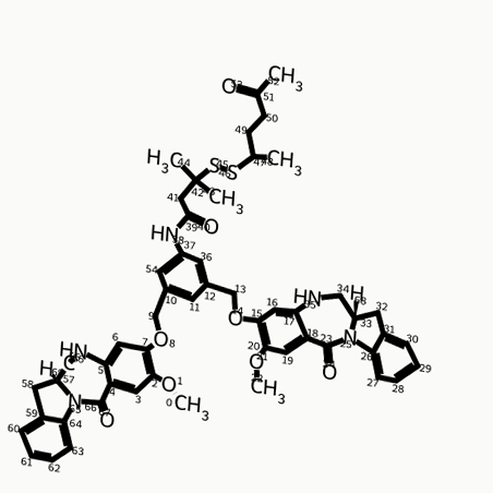 COc1cc2c(cc1OCc1cc(COc3cc4c(cc3OC)C(=O)N3c5ccccc5C[C@H]3CN4)cc(NC(=O)CC(C)(C)SSC(C)CCC(C)=O)c1)NC[C@@H]1Cc3ccccc3N1C2=O